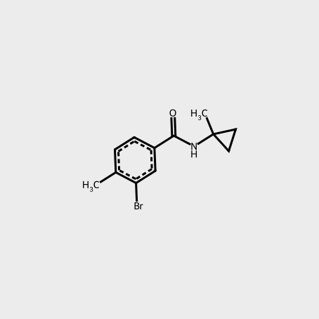 Cc1ccc(C(=O)NC2(C)CC2)cc1Br